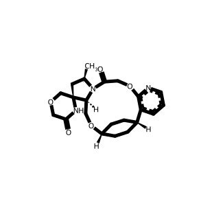 C[C@@H]1C[C@@]2(COCC(=O)N2)[C@@H]2CO[C@H]3CC[C@H](CC3)c3cccnc3OCC(=O)N12